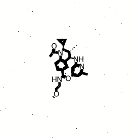 COCCNC(=O)c1ccc2c(c1)[C@H](Nc1cccc(C)n1)[C@@H](C)[C@H](C1CC1)N2C(C)=O